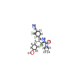 COc1ccc(CC2C(c3ccc(C#N)c(F)c3)=NC(C(=O)N3CCCC3)=C2F)cc1